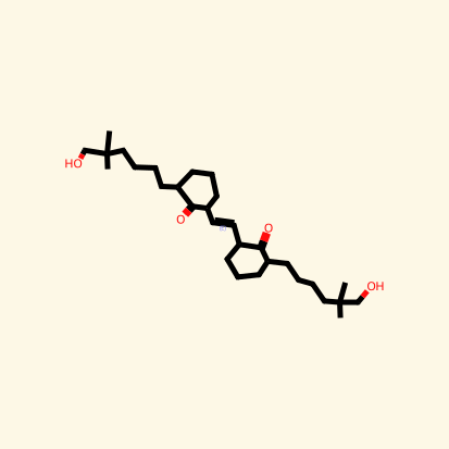 CC(C)(CO)CCCCC1CCCC(/C=C/C2CCCC(CCCCC(C)(C)CO)C2=O)C1=O